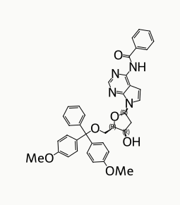 COc1ccc(C(OC[C@H]2O[C@@H](n3ccc4c(NC(=O)c5ccccc5)ncnc43)C[C@H]2O)(c2ccccc2)c2ccc(OC)cc2)cc1